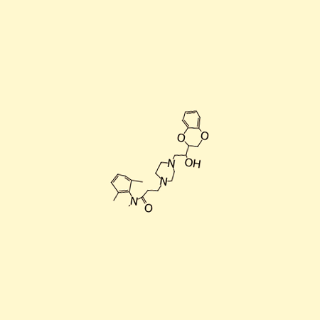 Cc1cccc(C)c1N(C)C(=O)CCN1CCN(CC(O)C2COc3ccccc3O2)CC1